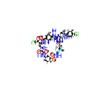 CNS(=O)(=O)c1cccc(NC(=O)C(=O)NC[C@H](NC(=O)c2ccc(Nc3nc(NC4(c5ccc(Cl)cc5)CC4)nc(OCC(F)(F)F)n3)cc2)C(=O)Cl)c1